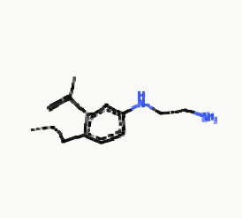 C=C(C)c1cc(NCCN)ccc1CCC